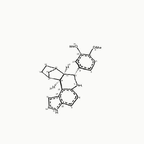 COc1ccc([C@@H]2Nc3ccc4[nH]ncc4c3[C@H]3C4CCC(C4)[C@@H]23)cc1OC